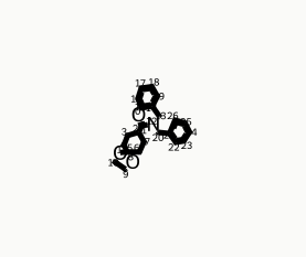 O=C(C1CCC2(CC1)OCCO2)N(Cc1ccccc1)Cc1ccccc1